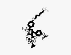 O=C1NC(c2ccc(OCCCCCC(F)(F)F)cc2)(C(F)(F)F)CC(c2ccc(OC(F)F)cc2)=C1C(=O)NS(=O)(=O)C1CC1